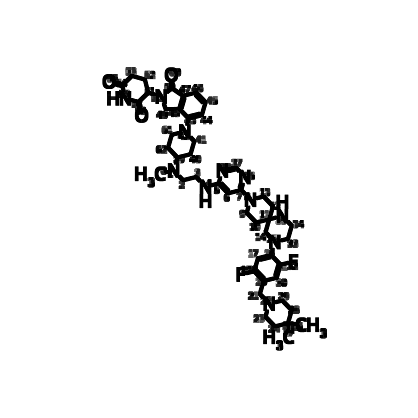 CN(CCNc1cc(N2CCC3(CC2)CN(c2cc(F)c(CN4CCC(C)(C)CC4)cc2F)CCN3)ncn1)C1CCN(c2cccc3c2CN(C2CCC(=O)NC2=O)C3=O)CC1